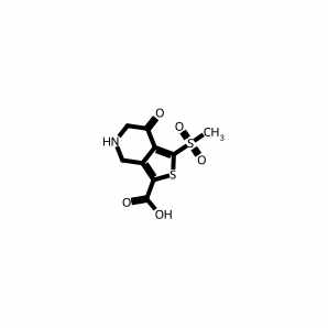 CS(=O)(=O)c1sc(C(=O)O)c2c1C(=O)CNC2